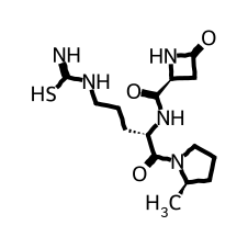 C[C@@H]1CCCN1C(=O)[C@H](CCCNC(=N)S)NC(=O)[C@@H]1CC(=O)N1